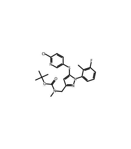 Cc1c(F)cccc1-n1nc(CN(C)C(=O)OC(C)(C)C)cc1Sc1ccc(Cl)nc1